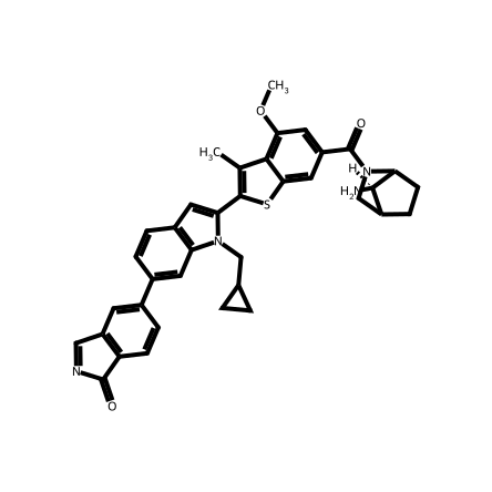 COc1cc(C(=O)N2CC3CCC2[C@@H]3N)cc2sc(-c3cc4ccc(-c5ccc6c(c5)C=NC6=O)cc4n3CC3CC3)c(C)c12